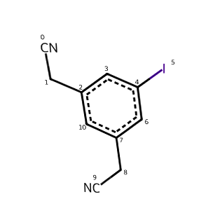 N#CCc1cc(I)cc(CC#N)c1